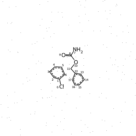 Clc1ccccc1.NC(=O)OCc1ccccc1